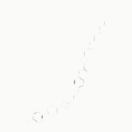 O=C(Cc1ccc(OCCC2CC(C3CCN(c4ncc(Cl)cn4)CC3)C2)cc1F)N1CC(CNCC(O)C(O)C(O)C(O)CO)C1